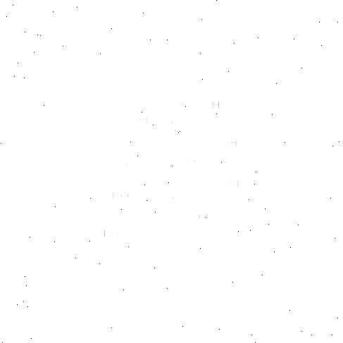 CC(O)COC(C)C(O)OC(O)C(C)OCC(C)O